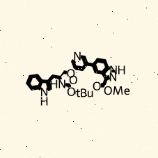 COC(=O)c1n[nH]c2ccc(-c3cncc(OC[C@H](Cc4c[nH]c5ccccc45)NC(=O)OC(C)(C)C)c3)cc12